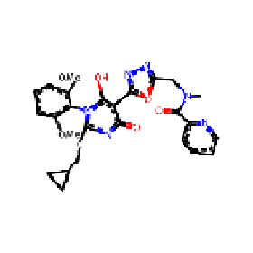 COc1cccc(OC)c1-n1c(CCC2CC2)nc(=O)c(-c2nnc(CN(C)C(=O)c3ccccn3)o2)c1O